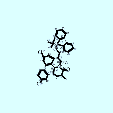 CC1C[C@H](c2cccc(Cl)c2)[C@@H](c2ccc(Cl)cc2)N([C@@H](C)CCO[Si](c2ccccc2)(c2ccccc2)C(C)(C)C)C1=O